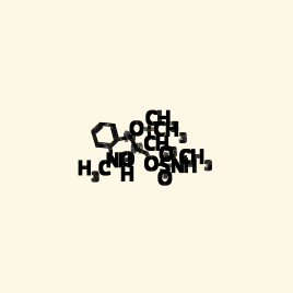 CNc1ccccc1[C@H](OC(C)(C)C)[C@@H](O)COS(=O)(=O)NC